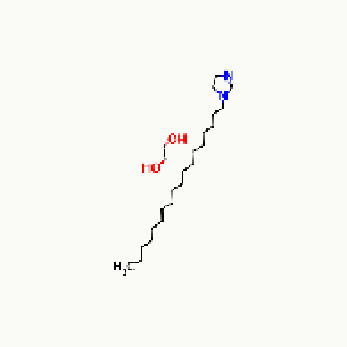 CCCCCCCCCCCCCCCCCCN1C=NCC1.OCCO